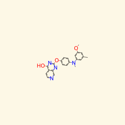 COc1cc(C)cc(N(C)c2ccc(Oc3nc(O)c4ccncc4n3)cc2)c1